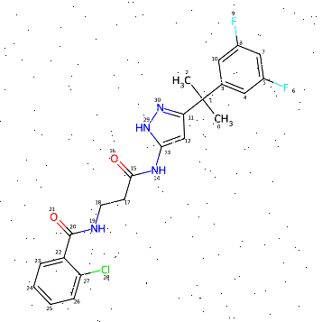 CC(C)(c1cc(F)cc(F)c1)c1cc(NC(=O)CCNC(=O)c2ccccc2Cl)[nH]n1